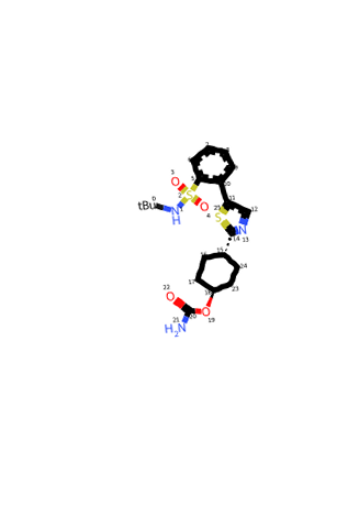 CC(C)(C)NS(=O)(=O)c1ccccc1-c1cnc([C@H]2CC[C@H](OC(N)=O)CC2)s1